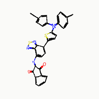 Cc1ccc(N(c2ccc(C)cc2)c2ccc(-c3ccc(N=c4c(=O)c5ccccc5c4=O)c4nsnc34)s2)cc1